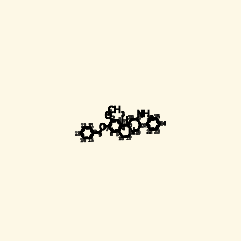 COc1cc2c(cc1OCc1ccccc1)CCN1C[C@@H](c3ccccc3)[C@H](N)C[C@H]21